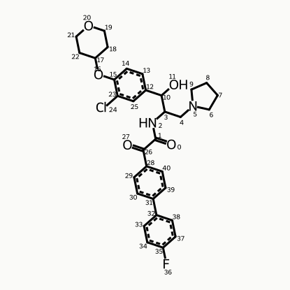 O=C(NC(CN1CCCC1)C(O)c1ccc(OC2CCOCC2)c(Cl)c1)C(=O)c1ccc(-c2ccc(F)cc2)cc1